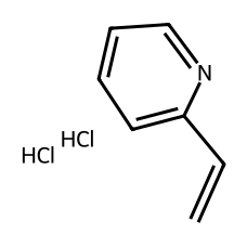 C=Cc1ccccn1.Cl.Cl